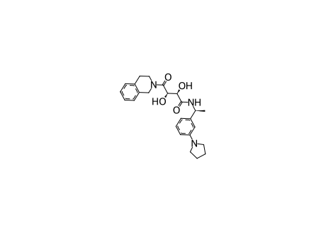 C[C@H](NC(=O)[C@H](O)[C@@H](O)C(=O)N1CCc2ccccc2C1)c1cccc(N2CCCC2)c1